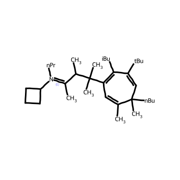 CCCCC1(C)C=C(C(C)(C)C)C(C(C)CC)=C(C(C)(C)C(C)/C(C)=[N+](\CCC)C2CCC2)C=C1C